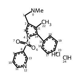 CNCc1cn(S(=O)(=O)c2cccnc2)c(-c2ccccc2)c1C.Cl.Cl